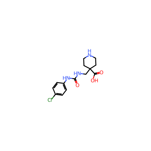 O=C(NCC1(C(=O)O)CCNCC1)Nc1ccc(Cl)cc1